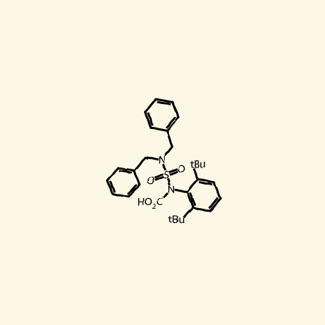 CC(C)(C)c1cccc(C(C)(C)C)c1N(C(=O)O)S(=O)(=O)N(Cc1ccccc1)Cc1ccccc1